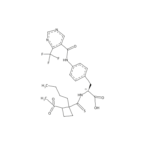 CCCCC1(C(=S)N[C@@H](Cc2ccc(NC(=O)c3cncnc3C(F)(F)F)cc2)C(=O)O)CCC1S(C)(=O)=O